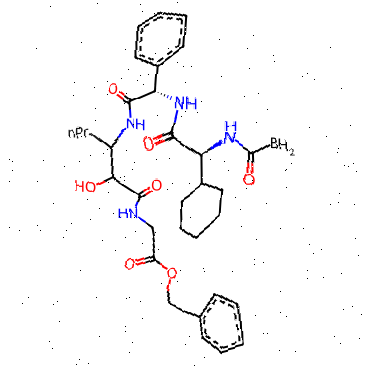 BC(=O)N[C@H](C(=O)N[C@H](C(=O)NC(CCC)C(O)C(=O)NCC(=O)OCc1ccccc1)c1ccccc1)C1CCCCC1